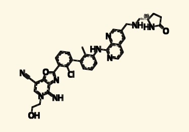 Cc1c(Nc2nccc3cc(CNC[C@@H]4CCC(=O)N4)cnc23)cccc1-c1cccc(-c2nc3c(=N)n(CCO)cc(C#N)c3o2)c1Cl